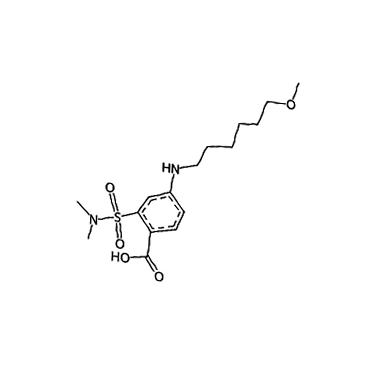 COCCCCCCNc1ccc(C(=O)O)c(S(=O)(=O)N(C)C)c1